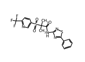 CC(C)(C(=O)Nc1nsc(-c2ccccc2)n1)S(=O)(=O)c1ccc(C(F)(F)F)nc1